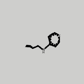 C=CCNc1ccncc1